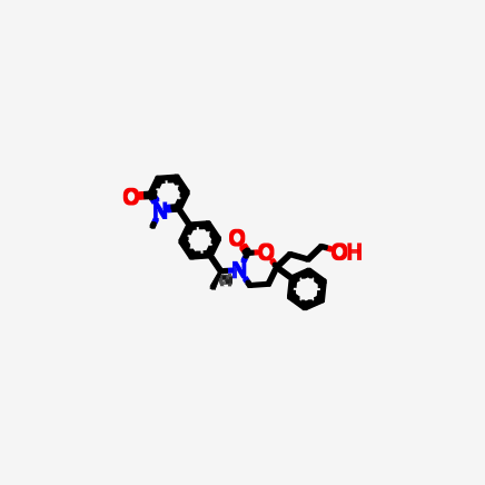 C[C@@H](c1ccc(-c2cccc(=O)n2C)cc1)N1CCC(CCCO)(c2ccccc2)OC1=O